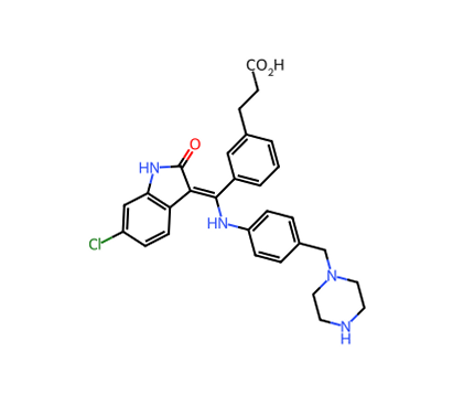 O=C(O)CCc1cccc(C(Nc2ccc(CN3CCNCC3)cc2)=C2C(=O)Nc3cc(Cl)ccc32)c1